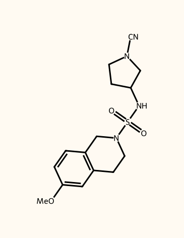 COc1ccc2c(c1)CCN(S(=O)(=O)NC1CCN(C#N)C1)C2